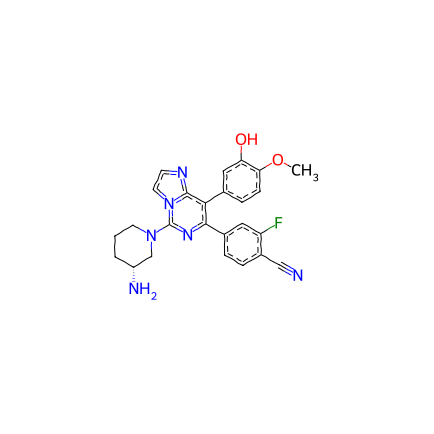 COc1ccc(-c2c(-c3ccc(C#N)c(F)c3)nc(N3CCC[C@@H](N)C3)n3ccnc23)cc1O